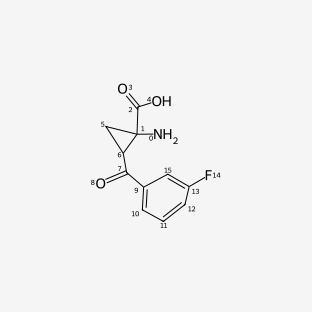 NC1(C(=O)O)CC1C(=O)c1cccc(F)c1